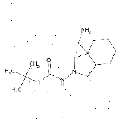 CC(C)(C)OC(=O)NN1CC2CCCCC2(CN)C1